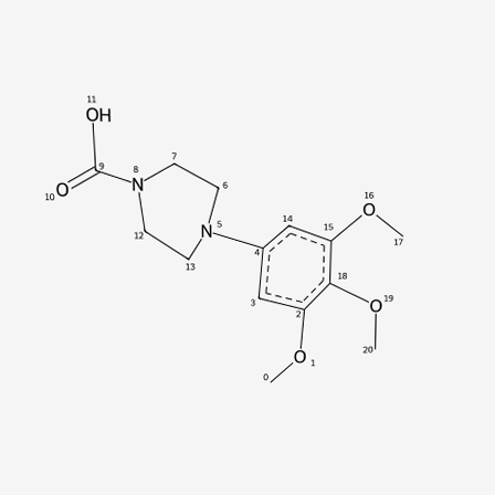 COc1cc(N2CCN(C(=O)O)CC2)cc(OC)c1OC